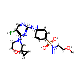 COCCNS(=O)(=O)c1ccc(Nc2ncc(F)c(N3CCOC4(CC4)C3)n2)cc1